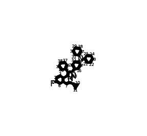 Fc1ccc2c(c1)cc(C1CC1)n1nc(-c3ccc(N(c4ccccc4)c4ccccc4)cc3)c(-c3ccccc3)c21